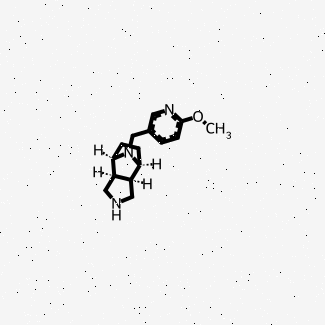 COc1ccc(CN2[C@@H]3CC[C@H]2[C@H]2CNC[C@H]23)cn1